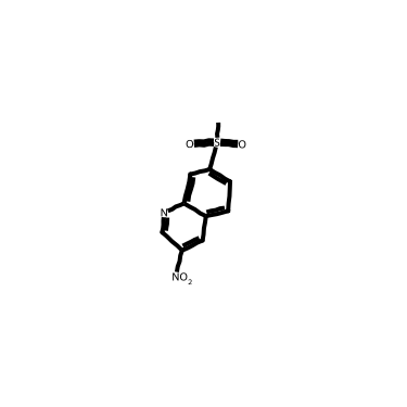 CS(=O)(=O)c1ccc2cc([N+](=O)[O-])cnc2c1